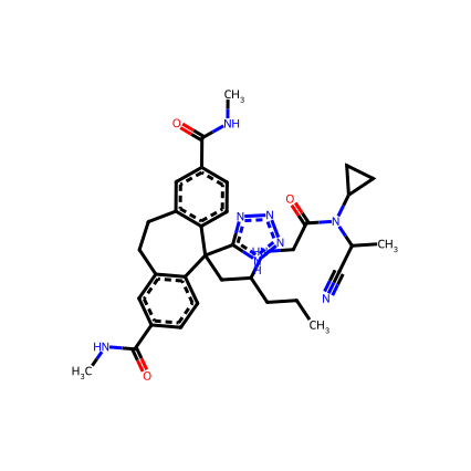 CCCC(CC1(c2nnn[nH]2)c2ccc(C(=O)NC)cc2CCc2cc(C(=O)NC)ccc21)NCC(=O)N(C(C)C#N)C1CC1